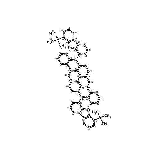 CC(C)(C)c1cccc2c1oc1c(-n3c4ccccc4c4cc5ccc6c7c(cc8ccc3c4c8c57)c3ccccc3n6-c3cccc4c3oc3c(C(C)(C)C)cccc34)cccc12